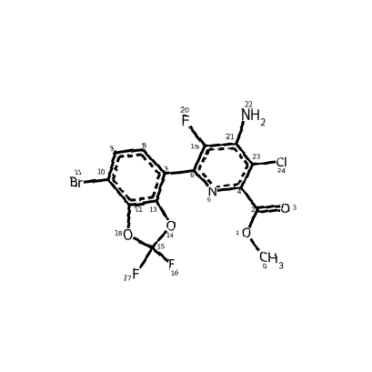 COC(=O)c1nc(-c2ccc(Br)c3c2OC(F)(F)O3)c(F)c(N)c1Cl